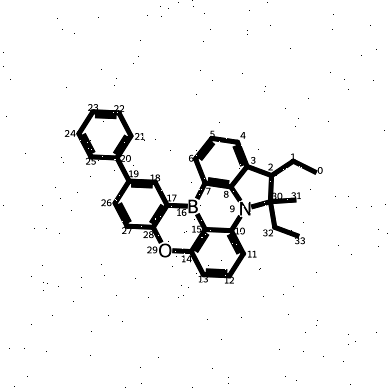 CCC1c2cccc3c2N(c2cccc4c2B3c2cc(-c3ccccc3)ccc2O4)C1(C)CC